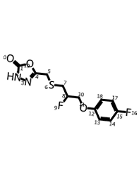 O=c1[nH]nc(CSCC(F)COc2ccc(F)cc2)o1